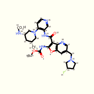 CC(C)(C)OC(=O)Nc1oc2cc(CN3CC[C@H](F)C3)cnc2c1C(=O)Nc1cnccc1N1C[C@@H](NC(=O)O)C[C@@H](C(F)(F)F)C1